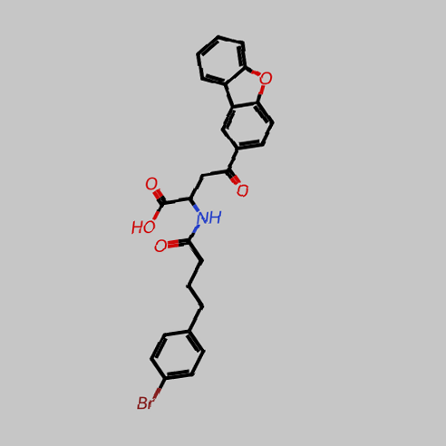 O=C(CCCc1ccc(Br)cc1)NC(CC(=O)c1ccc2oc3ccccc3c2c1)C(=O)O